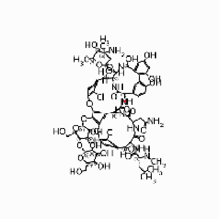 CN[C@H](CC(C)C)C(=O)NC1C(=O)NC(CC(N)=O)C(=O)N[C@H]2C(=O)N[C@H]3C(=O)N[C@H](C(=O)N[C@@H](O)c4cc(O)cc(O)c4-c4cc3ccc4O)[C@H](O[C@H]3C[C@](C)(N)[C@@H](O)[C@H](C)O3)c3ccc(c(Cl)c3)Oc3cc2cc(c3O[C@@H]2O[C@H](CO)[C@@H](O[C@@H]3O[C@H](CO)[C@H](O)[C@H](O)[C@H]3O)[C@H](O)[C@H]2O)Oc2ccc(cc2Cl)[C@H]1O